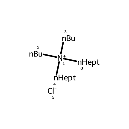 CCCCCCC[N+](CCCC)(CCCC)CCCCCCC.[Cl-]